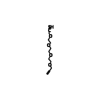 C#CCOCCOCCOCCOCCS